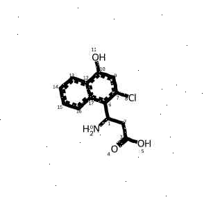 NC(CC(=O)O)c1c(Cl)cc(O)c2ccccc12